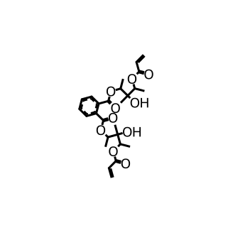 C=CC(=O)OC(C)C(C)(O)C(C)OC(=O)c1ccccc1C(=O)OC(C)C(C)(O)C(C)OC(=O)C=C